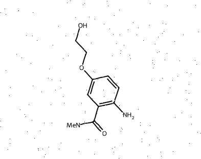 CNC(=O)c1cc(OCCO)ccc1N